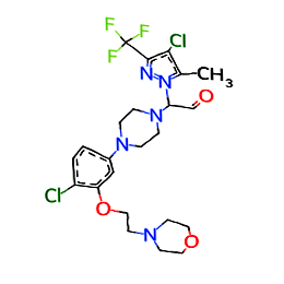 Cc1c(Cl)c(C(F)(F)F)nn1C(C=O)N1CCN(c2ccc(Cl)c(OCCN3CCOCC3)c2)CC1